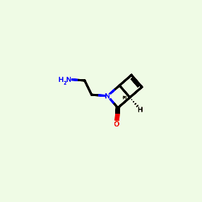 NCCN1C(=O)[C@@H]2C=CC21